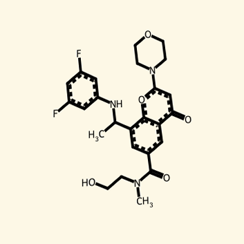 CC(Nc1cc(F)cc(F)c1)c1cc(C(=O)N(C)CCO)cc2c(=O)cc(N3CCOCC3)oc12